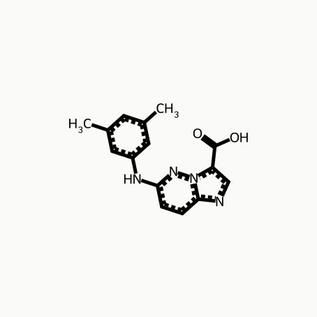 Cc1cc(C)cc(Nc2ccc3ncc(C(=O)O)n3n2)c1